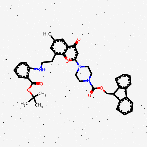 Cc1cc(CCNc2ccccc2C(=O)OC(C)(C)C)c2oc(N3CCN(C(=O)OCC4c5ccccc5-c5ccccc54)CC3)cc(=O)c2c1